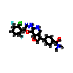 C[C@@H](Oc1c(N)ncc2c(-c3ccc(C(=O)N(C)C)cc3)coc12)c1c(F)ccc(F)c1Cl